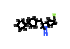 Fc1ccc2[nH]cc(CC3CCC(c4ccccc4)CC3)c2c1